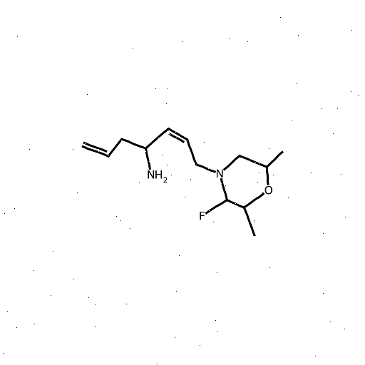 C=CCC(N)/C=C\CN1CC(C)OC(C)C1F